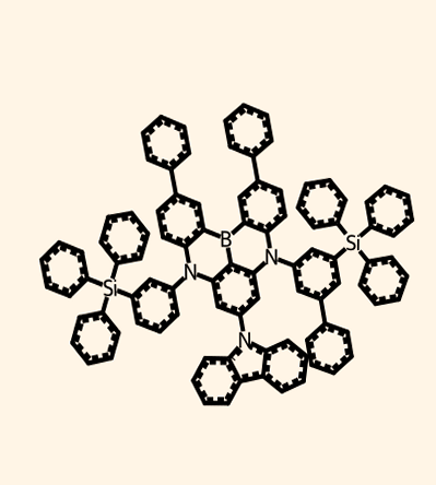 c1ccc(-c2cc(N3c4ccc(-c5ccccc5)cc4B4c5cc(-c6ccccc6)ccc5N(c5cccc([Si](c6ccccc6)(c6ccccc6)c6ccccc6)c5)c5cc(-n6c7ccccc7c7ccccc76)cc3c54)cc([Si](c3ccccc3)(c3ccccc3)c3ccccc3)c2)cc1